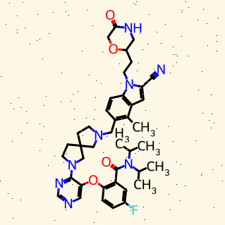 Cc1c(CN2CCC3(CCN(c4ncncc4Oc4ccc(F)cc4C(=O)N(C(C)C)C(C)C)C3)C2)ccc2c1cc(C#N)n2CCC1CNC(=O)CO1